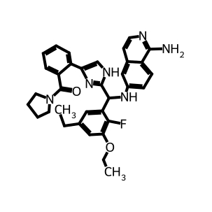 CCOc1cc(CC)cc(C(Nc2ccc3c(N)nccc3c2)c2nc(-c3ccccc3C(=O)N3CCCC3)c[nH]2)c1F